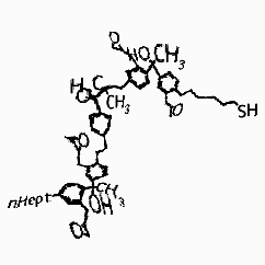 CCCCCCCc1ccc(C(C)(O)c2ccc(CCc3ccc(C(=O)C(C)(C)CCc4ccc(C(C)(O)c5ccc(CCCCCCS)c(CC6CO6)c5)c(CC5CO5)c4)cc3)c(CC3CO3)c2)c(CC2CO2)c1